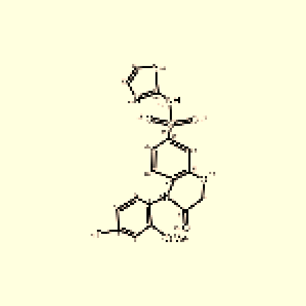 COc1cc(F)ccc1N1C(=O)COc2cc(S(=O)(=O)Nc3nccs3)ccc21